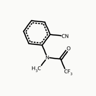 CN(C(=O)C(F)(F)F)c1ccccc1C#N